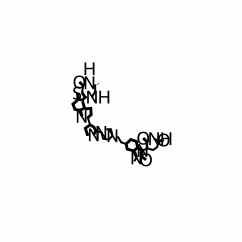 C[C@@H]1CNc2c(sc3ccc4nc(-c5ccnc(N6CCN(CCc7ccc8c(c7)n(C)c(=O)n8C7CCC(=O)NC7=O)CC6)c5)ccc4c23)C(=O)N1